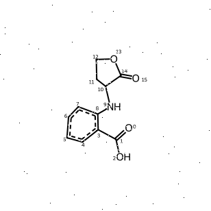 O=C(O)c1ccccc1NC1CCOC1=O